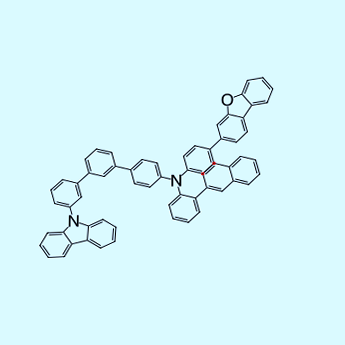 c1cc(-c2ccc(N(c3ccc(-c4ccc5c(c4)oc4ccccc45)cc3)c3ccccc3-c3ccc4ccccc4c3)cc2)cc(-c2cccc(-n3c4ccccc4c4ccccc43)c2)c1